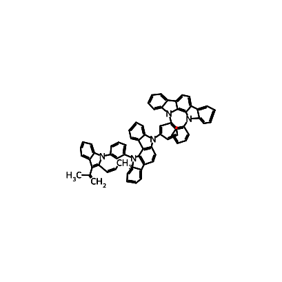 C=C(C)c1c(/C=C\C)n(-c2cccc(-n3c4ccccc4c4ccc5c(c6ccccc6n5-c5cccc(-n6c7ccccc7c7ccc8c9ccccc9n(-c9ccccc9)c8c76)c5)c43)c2)c2ccccc12